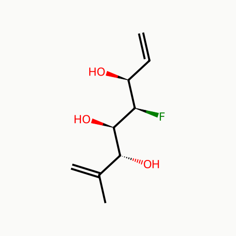 C=C[C@H](O)[C@@H](F)[C@H](O)[C@H](O)C(=C)C